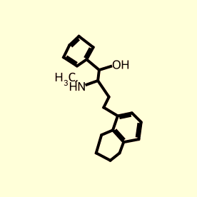 CNC(CCc1cccc2c1CCCC2)C(O)c1ccccc1